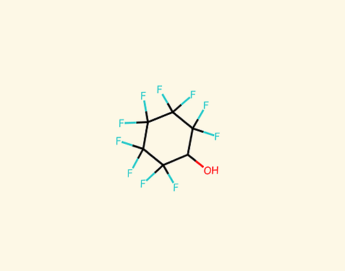 OC1C(F)(F)C(F)(F)C(F)(F)C(F)(F)C1(F)F